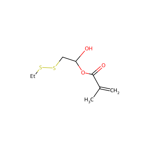 C=C(C)C(=O)OC(O)CSSCC